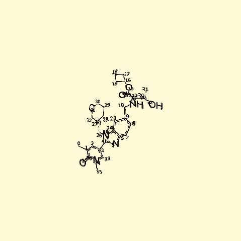 Cc1cc(-c2nc3ccc(CN[C@@H](C(=O)OC4CCC4)[C@H](C)O)cc3n2C[C@H]2CCCOC2)cn(C)c1=O